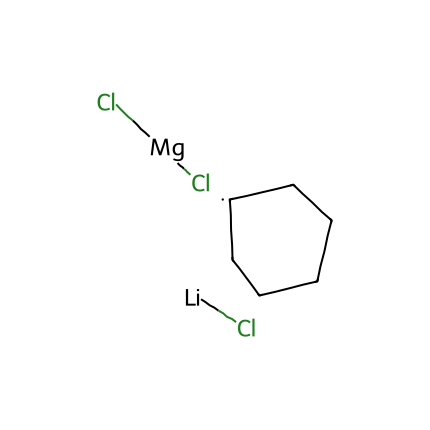 [CH]1CCCCC1.[Cl][Mg][Cl].[Li][Cl]